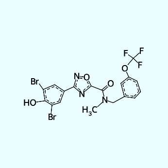 CN(Cc1cccc(OC(F)(F)F)c1)C(=O)c1nc(-c2cc(Br)c(O)c(Br)c2)no1